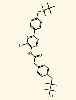 CC(C)(Cc1ccc(CC(=O)Nc2ncc(-c3ccc(O[Si](C)(C)C(C)(C)C)cc3)nc2Br)cc1)[Si](C)(C)O